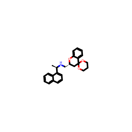 C[C@@H](NC[C@H]1CC2(OCCCO2)c2ccccc2O1)c1cccc2ccccc12